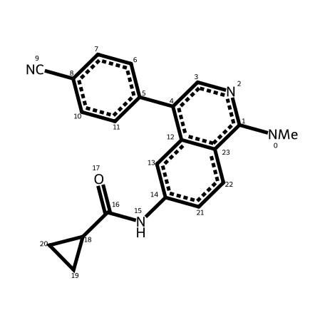 CNc1ncc(-c2ccc(C#N)cc2)c2cc(NC(=O)C3CC3)ccc12